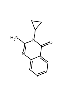 Nc1nc2c[c]ccc2c(=O)n1C1CC1